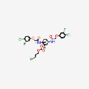 O=C(COc1ccc(Cl)c(F)c1)NC12CCC(NC(=O)COc3ccc(Cl)c(F)c3)(CC1)[C@@H](OC(=O)OCCCBr)C2